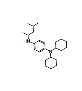 CC(C)CC(C)Nc1ccc(N(C2CCCCC2)C2CCCCC2)cc1